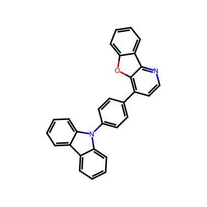 c1ccc2c(c1)oc1c(-c3ccc(-n4c5ccccc5c5ccccc54)cc3)ccnc12